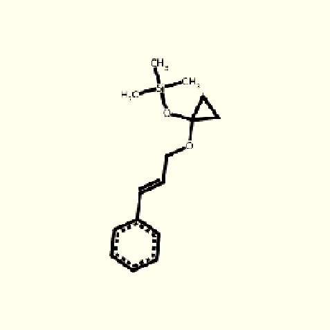 C[Si](C)(C)OC1(OCC=Cc2ccccc2)CC1